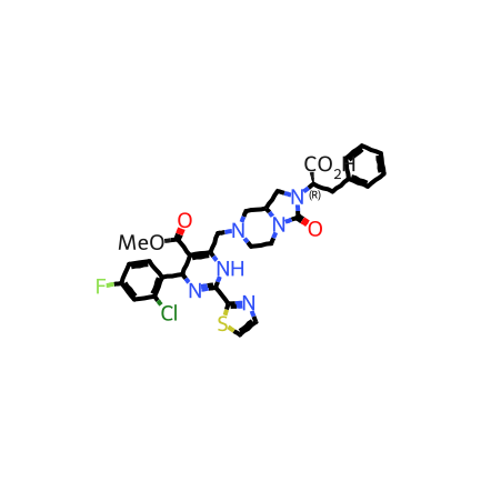 COC(=O)C1=C(CN2CCN3C(=O)N([C@H](Cc4ccccc4)C(=O)O)CC3C2)NC(c2nccs2)=NC1c1ccc(F)cc1Cl